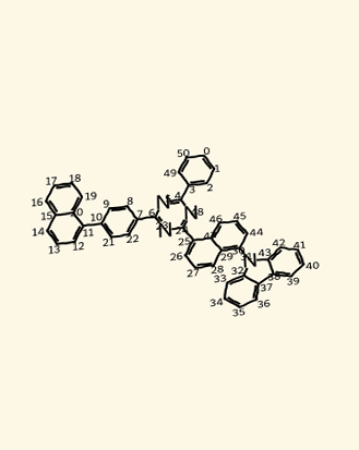 c1ccc(-c2nc(-c3ccc(-c4cccc5ccccc45)cc3)nc(-c3cccc4c(-n5c6ccccc6c6ccccc65)cccc34)n2)cc1